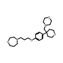 c1cc(C2(CN3CCOCC3)CCOCC2)ccc1OCCCN1CCCOCC1